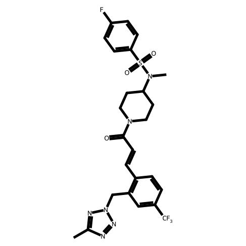 Cc1nnn(Cc2cc(C(F)(F)F)ccc2/C=C/C(=O)N2CCC(N(C)S(=O)(=O)c3ccc(F)cc3)CC2)n1